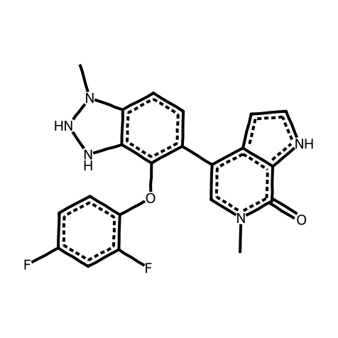 CN1NNc2c1ccc(-c1cn(C)c(=O)c3[nH]ccc13)c2Oc1ccc(F)cc1F